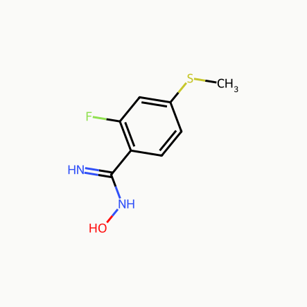 CSc1ccc(C(=N)NO)c(F)c1